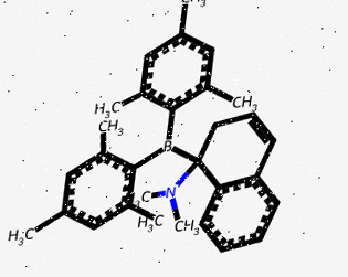 Cc1cc(C)c(B(c2c(C)cc(C)cc2C)C2(N(C)C)CC=Cc3ccccc32)c(C)c1